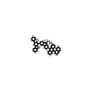 CC1(C)c2ccc(-c3c4oc5ccccc5c4cc4c3oc3ccccc34)cc2-c2ccc(-c3c4ccccc4c(-c4cccc5ccccc45)c4ccccc34)cc21